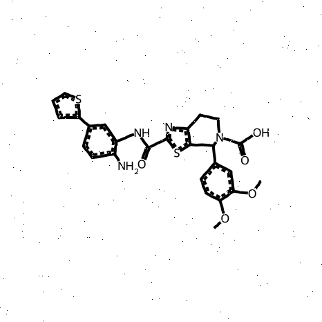 COc1ccc(C2c3sc(C(=O)Nc4cc(-c5cccs5)ccc4N)nc3CCN2C(=O)O)cc1OC